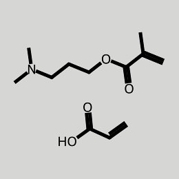 C=C(C)C(=O)OCCCN(C)C.C=CC(=O)O